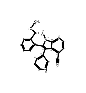 COCc1ccccc1-c1c(-c2cccnc2)c2c(C#N)ccnc2n1C